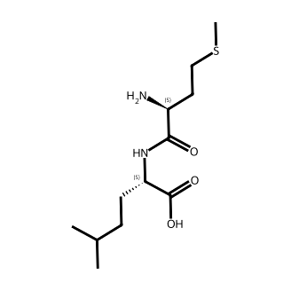 CSCC[C@H](N)C(=O)N[C@@H](CCC(C)C)C(=O)O